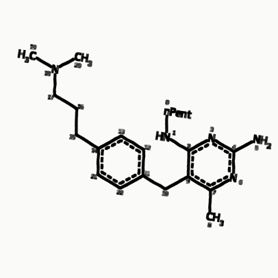 CCCCCNc1nc(N)nc(C)c1Cc1ccc(CCCN(C)C)cc1